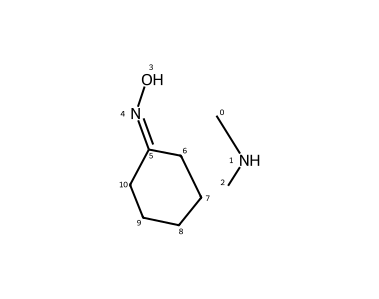 CNC.ON=C1CCCCC1